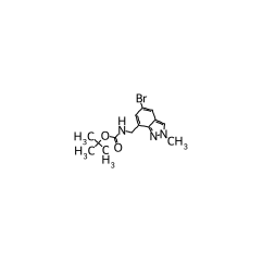 Cn1cc2cc(Br)cc(CNC(=O)OC(C)(C)C)c2n1